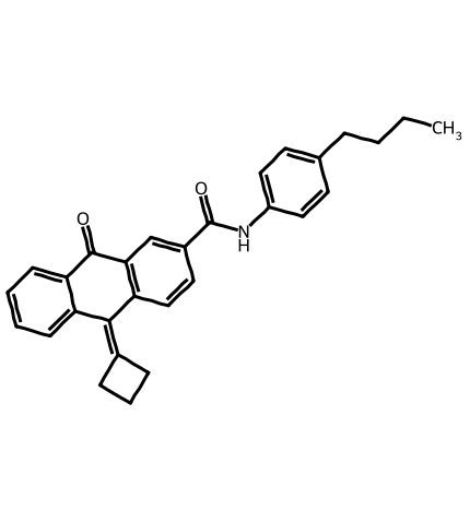 CCCCc1ccc(NC(=O)c2ccc3c(c2)C(=O)c2ccccc2C3=C2CCC2)cc1